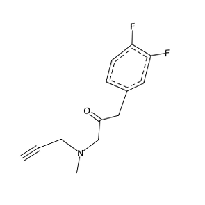 C#CCN(C)CC(=O)Cc1ccc(F)c(F)c1